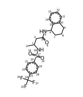 CC(CC(=O)NC1CCCc2ccccc21)NS(=O)(=O)c1ccc(C(F)(F)F)cc1